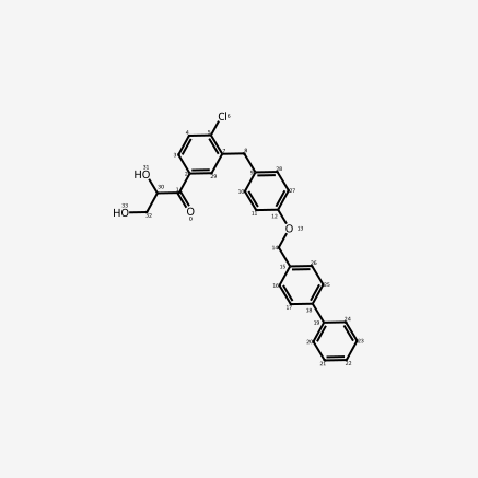 O=C(c1ccc(Cl)c(Cc2ccc(OCc3ccc(-c4ccccc4)cc3)cc2)c1)C(O)CO